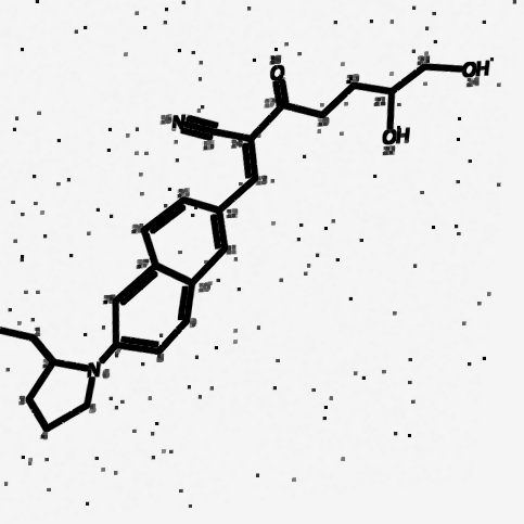 CCC1CCCN1c1ccc2cc(/C=C(\C#N)C(=O)CCC(O)CO)ccc2c1